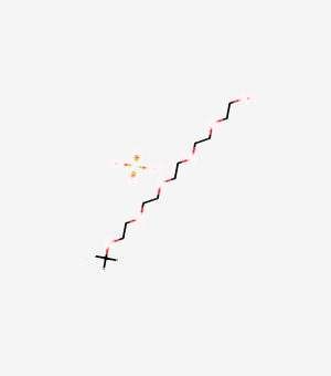 CC(C)(C)OCCOCCOCCOCCOCCO.O=S(=O)(O)O